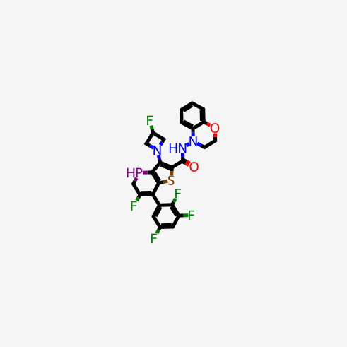 O=C(NN1CCOc2ccccc21)c1sc2c(c1N1CC(F)C1)PCC(F)=C2c1cc(F)cc(F)c1F